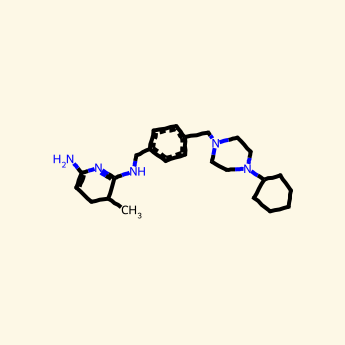 CC1CC=C(N)N=C1NCc1ccc(CN2CCN(C3CCCCC3)CC2)cc1